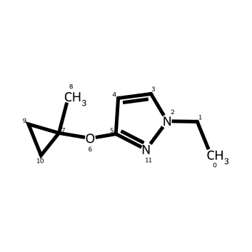 CCn1ccc(OC2(C)CC2)n1